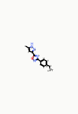 Cc1cc(-c2nc(-c3ccc(CC(C)C)cc3)no2)n[nH]1